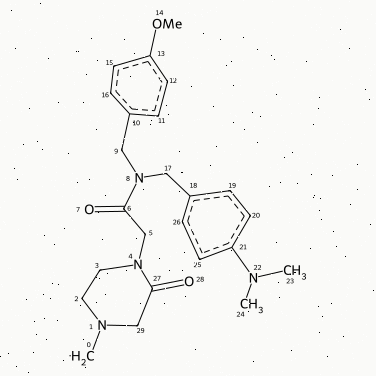 [CH2]N1CCN(CC(=O)N(Cc2ccc(OC)cc2)Cc2ccc(N(C)C)cc2)C(=O)C1